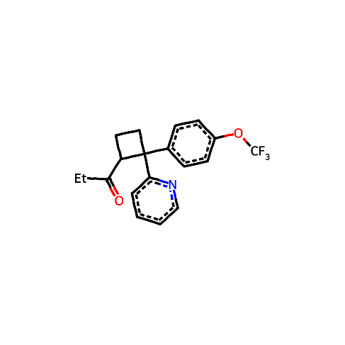 CCC(=O)C1CCC1(c1ccc(OC(F)(F)F)cc1)c1ccccn1